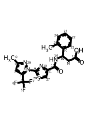 Cc1cc(C(F)(F)F)n(-c2nc(C(=O)NC(CC(=O)O)c3ccccc3C)cs2)n1